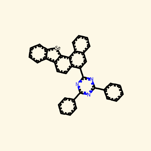 c1ccc(-c2nc(-c3ccccc3)nc(-c3cc4ccccc4c4c3ccc3c5ccccc5[se]c34)n2)cc1